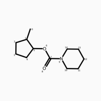 CC1CCCC1OC(=O)N1CCCCC1